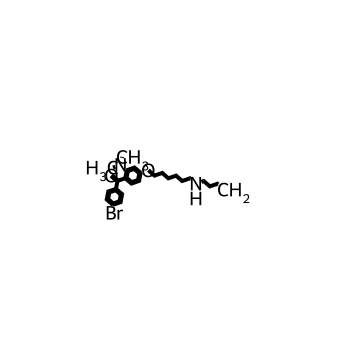 C=CCCNCCCCCCOc1ccc(C(=O)c2ccc(Br)cc2)c(N(C)C)c1